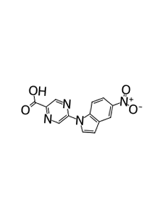 O=C(O)c1cnc(-n2ccc3cc([N+](=O)[O-])ccc32)cn1